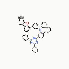 CCCCc1ccc2c(c1)oc1c(-c3ccc4c5ccccc5n(-c5cc(-c6nc(-c7ccccc7)nc(-c7ccccc7)n6)ccc5-c5ccccc5)c4c3)cccc12